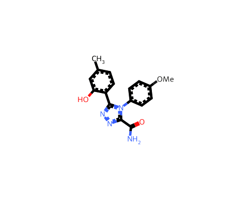 COc1ccc(-n2c(C(N)=O)nnc2-c2ccc(C)cc2O)cc1